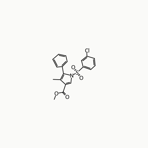 COC(=O)c1cn(S(=O)(=O)c2cccc(Cl)c2)c(-c2ccccc2)c1C